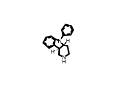 c1ccc(N2c3ccccc3[C@@H]3CNCC[C@H]32)cc1